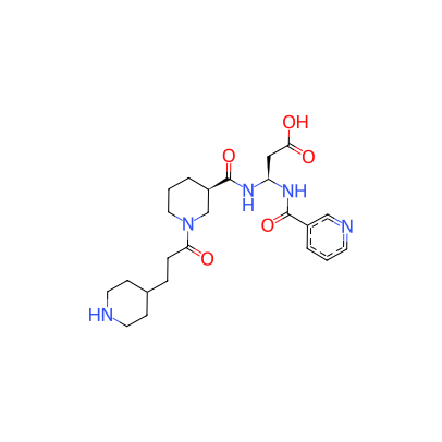 O=C(O)C[C@@H](NC(=O)c1cccnc1)NC(=O)[C@@H]1CCCN(C(=O)CCC2CCNCC2)C1